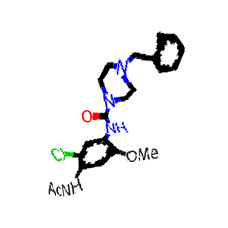 COc1cc(NC(C)=O)c(Cl)cc1NC(=O)N1CCN(Cc2ccccc2)CC1